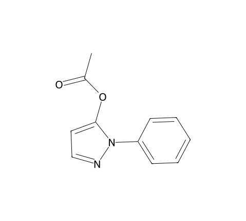 CC(=O)Oc1ccnn1-c1ccccc1